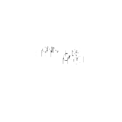 CC1(C)CCC(=O)Nc2cc(OCCCCCN3CCN(c4cccc(Cl)c4Cl)CC3)ccc21